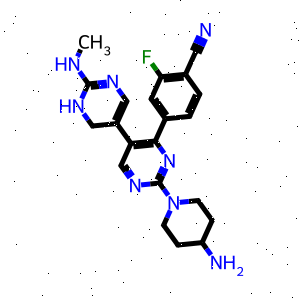 CNC1=NC=C(c2cnc(N3CCC(N)CC3)nc2-c2ccc(C#N)c(F)c2)CN1